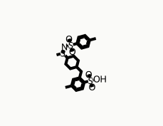 Cc1ccc(S(=O)(=O)/N=S(/C)C2CCC(Cc3cc(C)ccc3S(=O)(=O)O)CC2)cc1